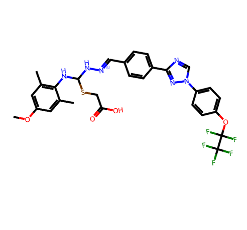 COc1cc(C)c(NC(N/N=C/c2ccc(-c3ncn(-c4ccc(OC(F)(F)C(F)(F)F)cc4)n3)cc2)SCC(=O)O)c(C)c1